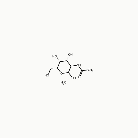 CC(=O)N[C@H]1C(O)O[C@H](CO)[C@H](O)[C@@H]1O.O